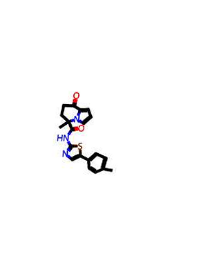 Cc1ccc(-c2cnc(NC(=O)C3(C)CCC(=O)c4cccn43)s2)cc1